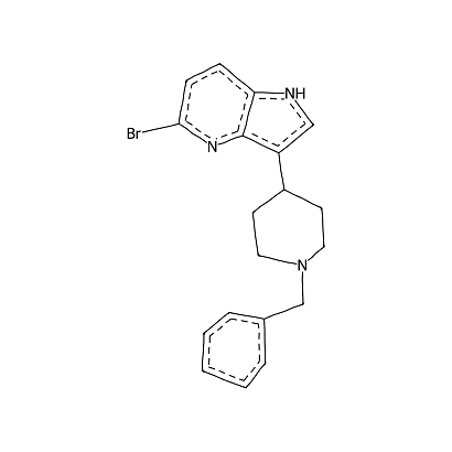 Brc1ccc2[nH]cc(C3CCN(Cc4ccccc4)CC3)c2n1